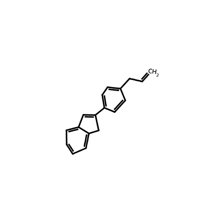 C=CCc1ccc(C2=Cc3ccccc3C2)cc1